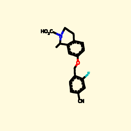 CC1c2cc(OCc3ccc(C#N)cc3F)ccc2CCN1C(=O)O